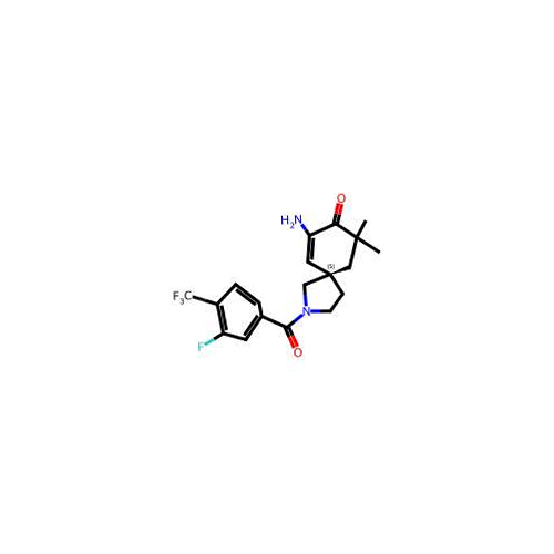 CC1(C)C[C@@]2(C=C(N)C1=O)CCN(C(=O)c1ccc(C(F)(F)F)c(F)c1)C2